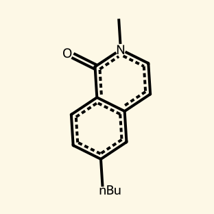 CCCCc1ccc2c(=O)n(C)ccc2c1